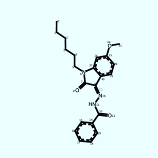 CCCCCCN1C(=O)/C(=N\NC(=O)c2ccccc2)c2ccc(OC)cc21